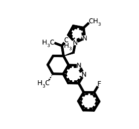 Cc1ccn(C[C@]2(C(C)C)CC[C@@H](C)c3cc(-c4ccccc4F)nnc32)n1